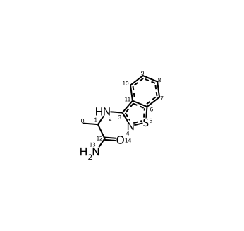 CC(Nc1nsc2ccccc12)C(N)=O